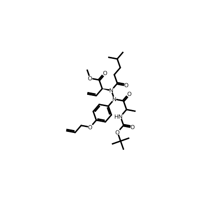 C=CCOc1ccc(N(C(=O)C(C)NC(=O)OC(C)(C)C)N(C(=O)CCC(C)C)[C@@H](C=C)C(=O)OC)cc1